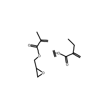 C=C.C=C(C)C(=O)OCC1CO1.C=C(CC)C(=O)O